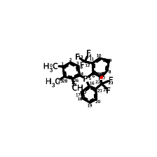 Cc1ccc(P(c2ccccc2C(F)(F)F)c2ccccc2C(F)(F)F)c(C)c1C